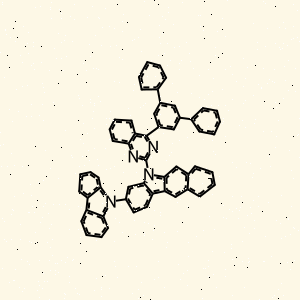 c1ccc(-c2cc(-c3ccccc3)cc(-c3nc(-n4c5cc(-n6c7ccccc7c7ccccc76)ccc5c5cc6ccccc6cc54)nc4ccccc34)c2)cc1